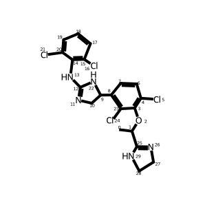 CC(Oc1c(Cl)ccc(C2CN=C(Nc3c(Cl)cccc3Cl)N2)c1Cl)C1=NCCN1